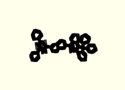 c1ccc(-c2nc(-c3ccccc3)nc(-c3ccc4cc(-c5nc6c(c7ccccc57)C(c5ccccc5)(c5ccccc5)c5ccccc5-6)ccc4c3)n2)cc1